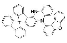 c1ccc(Nc2cccc3oc4ccccc4c23)c(Nc2cccc3c2-c2ccccc2C32c3ccccc3-c3ccccc32)c1